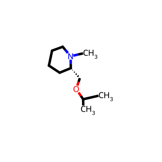 CC(C)OC[C@@H]1CCCCN1C